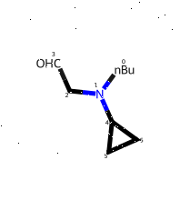 CCCCN(CC=O)C1CC1